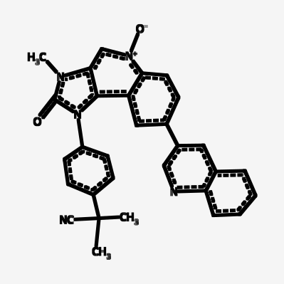 Cn1c(=O)n(-c2ccc(C(C)(C)C#N)cc2)c2c3cc(-c4cnc5ccccc5c4)ccc3[n+]([O-])cc21